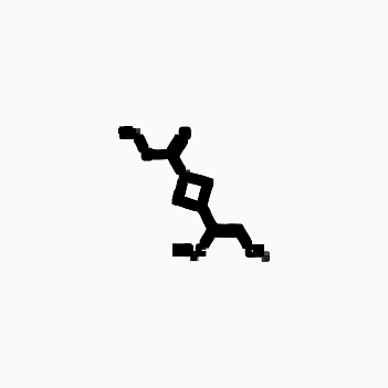 CC=C(C(=O)O)C1CN(C(=O)OC(C)(C)C)C1